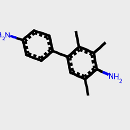 Cc1cc(-c2ccc(N)cc2)c(C)c(C)c1N